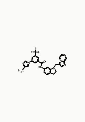 Cc1cn(-c2cc(C(=O)Nc3ccc4c(c3)N(Cc3cnc5cnccn35)CC4)cc(C(F)(F)F)c2)cn1